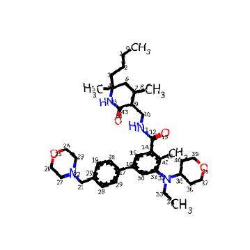 CCCCC1(C)CC(C)C(CNC(=O)c2cc(-c3ccc(CN4CCOCC4)cc3)cc(N(CC)C3CCOCC3)c2C)C(=O)N1